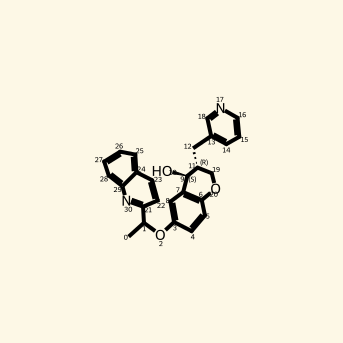 CC(Oc1ccc2c(c1)[C@@H](O)[C@H](Cc1cccnc1)CO2)c1ccc2ccccc2n1